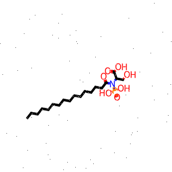 CCCCCCCCCCCCCCCC(=O)N(C(CO)C(=O)O)P(=O)(O)O